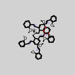 COc1ccccc1/C=C/C1=CC(/C=C/c2ccccc2OC)(OC)C=C(/C=C/c2ccccc2OC)C1C[S+]([O-])CC1C(/C=C/c2ccccc2OC)=CC(/C=C/c2ccccc2OC)(OC)C=C1/C=C/c1ccccc1OC